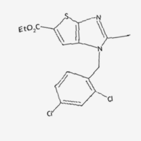 CCOC(=O)c1cc2c(nc(C)n2Cc2ccc(Cl)cc2Cl)s1